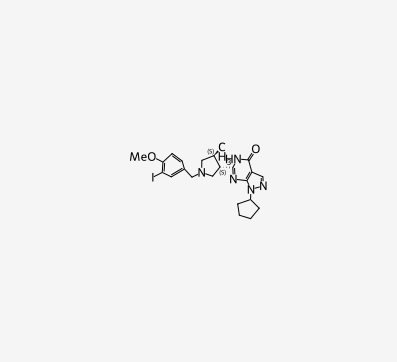 COc1ccc(CN2C[C@@H](C)[C@H](c3nc4c(cnn4C4CCCC4)c(=O)[nH]3)C2)cc1I